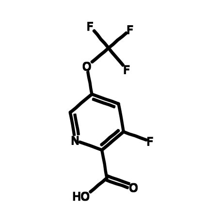 O=C(O)c1ncc(OC(F)(F)F)cc1F